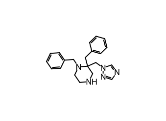 c1ccc(CN2CCNCC2(Cc2ccccc2)Cn2cncn2)cc1